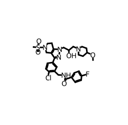 COC1CCN(CC(O)Cn2nc(-c3ccc(Cl)c(CNC(=O)c4ccc(F)cc4)c3)c3c2CCN(S(C)(=O)=O)C3)CC1